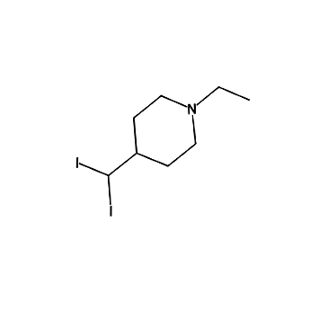 CCN1CCC(C(I)I)CC1